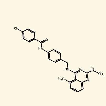 CNc1nc(NCc2ccc(NC(=O)c3ccc(Cl)cc3)cc2)c2c(C)cccc2n1